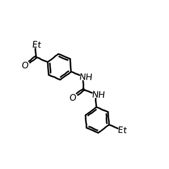 CCC(=O)c1ccc(NC(=O)Nc2cccc(CC)c2)cc1